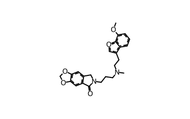 COc1cccc2c(CCN(C)CCCN3Cc4cc5c(cc4C3=O)OCO5)coc12